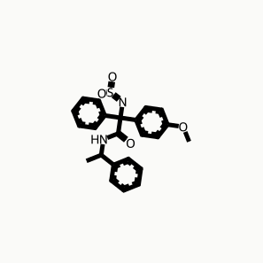 COc1ccc(C(N=S(=O)=O)(C(=O)NC(C)c2ccccc2)c2ccccc2)cc1